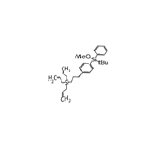 C=CC[Si](CC=C)(CC=C)CCCc1ccc([Si](OC)(c2ccccc2)C(C)(C)C)cc1